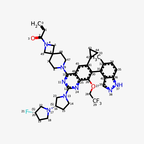 C=CC(=O)N1CC2(CCN(c3nc(N4CC[C@H](N5CC[C@H](F)C5)C4)nc4c(OCC(F)(F)F)c(-c5c(C)ccc6[nH]ncc56)c(C5CC5)cc34)CC2)C1